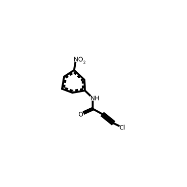 O=C(C#CCl)Nc1cccc([N+](=O)[O-])c1